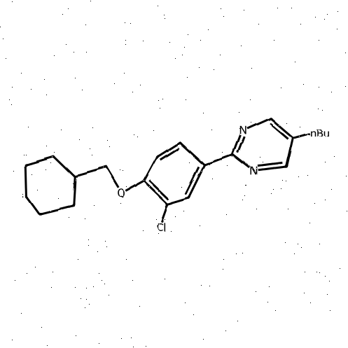 CCCCc1cnc(-c2ccc(OCC3CC[CH]CC3)c(Cl)c2)nc1